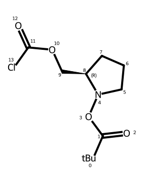 CC(C)(C)C(=O)ON1CCC[C@@H]1COC(=O)Cl